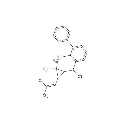 Cc1c(-c2ccccc2)cccc1C(C#N)C1C(C=C(Cl)C(F)(F)F)C1(C)C